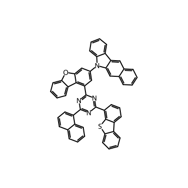 c1ccc2cc3c(cc2c1)c1ccccc1n3-c1cc(-c2nc(-c3cccc4ccccc34)nc(-c3cccc4c3sc3ccccc34)n2)c2c(c1)oc1ccccc12